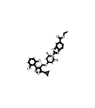 CCOC(=O)c1ccc2nc(N3[C@H](C)CC(OCc4c(-c5c(Cl)cccc5Cl)noc4C4CC4)C[C@@H]3C)sc2c1